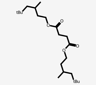 CC(CCOC(=O)CCC(=O)OCCC(C)CC(C)(C)C)CC(C)(C)C